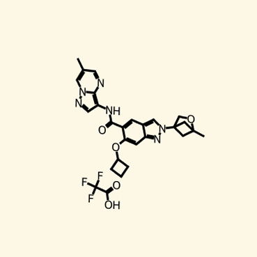 Cc1cnc2c(NC(=O)c3cc4cn(C56COC(C)(C5)C6)nc4cc3OC3CCC3)cnn2c1.O=C(O)C(F)(F)F